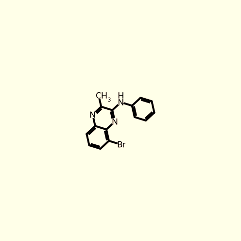 Cc1nc2cccc(Br)c2nc1Nc1ccccc1